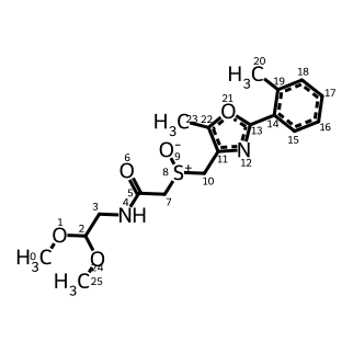 COC(CNC(=O)C[S+]([O-])Cc1nc(-c2ccccc2C)oc1C)OC